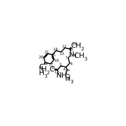 C=C(N)CC(C)CCN(C)C(=C)CCCC1=CCC(C)C=C1